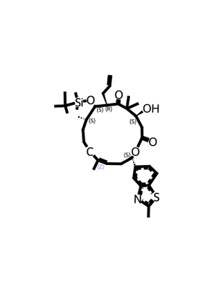 C=CC[C@H]1C(=O)C(C)(C)[C@@H](O)CC(=O)O[C@H](c2ccc3sc(C)nc3c2)C/C=C(/C)CCC[C@H](C)[C@@H]1O[Si](C)(C)C(C)(C)C